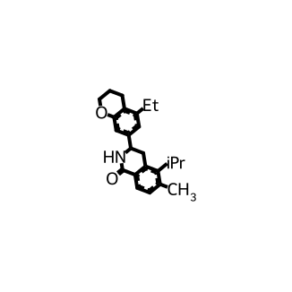 CCc1cc(C2Cc3c(ccc(C)c3C(C)C)C(=O)N2)cc2c1CCCO2